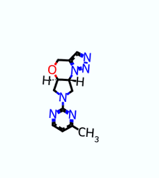 Cc1ccnc(N2C[C@@H]3[C@@H](C2)OCc2cnnn23)n1